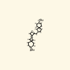 CC(C)(C)N1CCC2(CCN(CC3OCC3N3CC4(CCN(C(C)(C)C)CC4)C3)C2)CC1